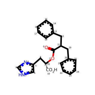 O=C(O[C@@H](Cc1c[nH]cn1)C(=O)O)C(Cc1ccccc1)Cc1ccccc1